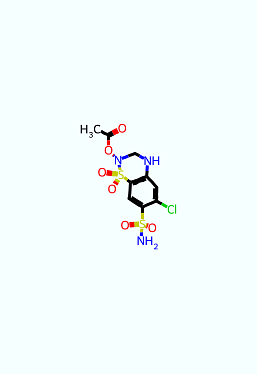 CC(=O)ON1CNc2cc(Cl)c(S(N)(=O)=O)cc2S1(=O)=O